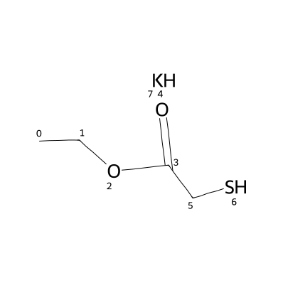 CCOC(=O)CS.[KH]